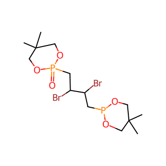 CC1(C)COP(CC(Br)C(Br)CP2(=O)OCC(C)(C)CO2)OC1